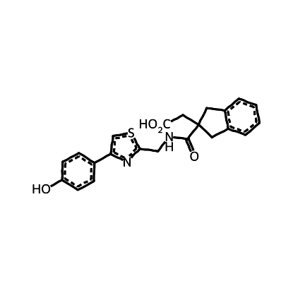 O=C(O)CC1(C(=O)NCc2nc(-c3ccc(O)cc3)cs2)Cc2ccccc2C1